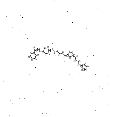 CN(/N=C/C1CCN(CCCCCCn2cc[n+](CCCCn3ccnc3)c2)CC1)c1ccccc1